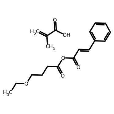 C=C(C)C(=O)O.CCOCCCC(=O)OC(=O)C=Cc1ccccc1